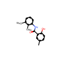 COc1cccc(NC(=O)c2cc(C)ccc2O)c1OC